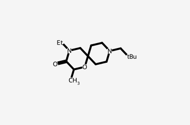 CCN1CC2(CCN(CC(C)(C)C)CC2)OC(C)C1=O